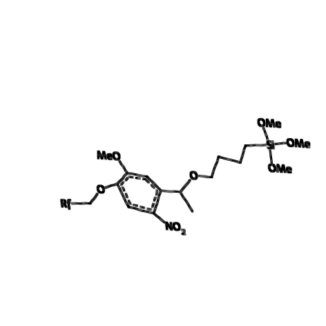 COc1cc(C(C)OCCCC[Si](OC)(OC)OC)c([N+](=O)[O-])cc1O[CH2][Rf]